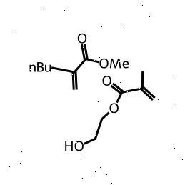 C=C(C)C(=O)OCCO.C=C(CCCC)C(=O)OC